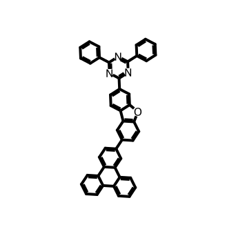 c1ccc(-c2nc(-c3ccccc3)nc(-c3ccc4c(c3)oc3ccc(-c5ccc6c7ccccc7c7ccccc7c6c5)cc34)n2)cc1